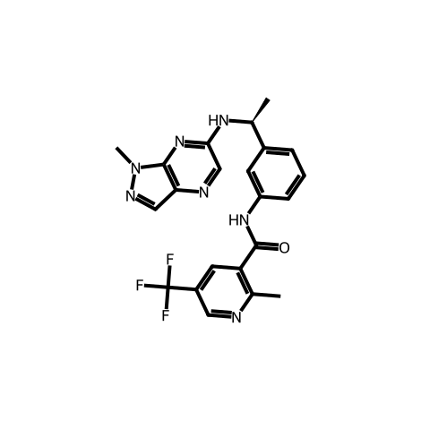 Cc1ncc(C(F)(F)F)cc1C(=O)Nc1cccc([C@H](C)Nc2cnc3cnn(C)c3n2)c1